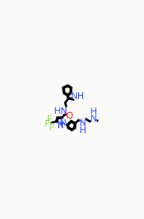 CNCCNCc1cccc(-n2nc(C(F)(F)F)cc2C(=O)NCCc2c[nH]c3ccccc23)c1